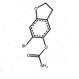 NC(=O)Oc1cc2c(cc1Br)OCC2